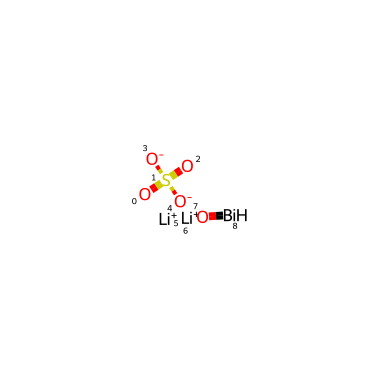 O=S(=O)([O-])[O-].[Li+].[Li+].[O]=[BiH]